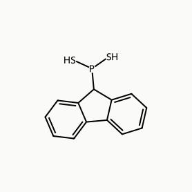 SP(S)C1c2ccccc2-c2ccccc21